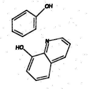 Oc1cccc2cccnc12.Oc1ccccc1